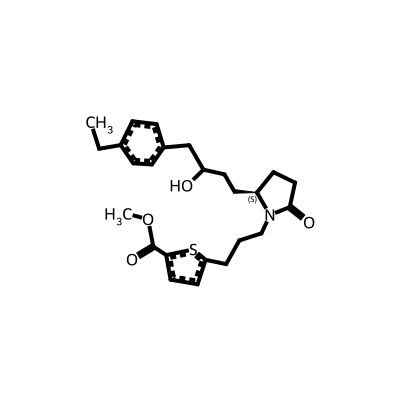 CCc1ccc(CC(O)CC[C@H]2CCC(=O)N2CCCc2ccc(C(=O)OC)s2)cc1